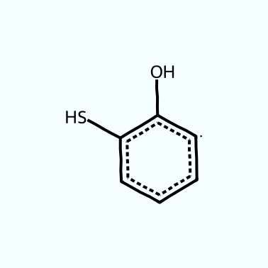 Oc1[c]cccc1S